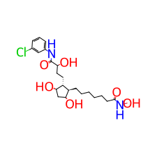 O=C(CCCCCC[C@@H]1[C@@H](CCC(O)C(=O)Nc2cccc(Cl)c2)[C@H](O)C[C@@H]1O)NO